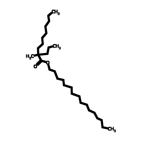 CCCCCCCCCCCCCCCCOC(=O)C(C)(CCC)CCCCCCCC